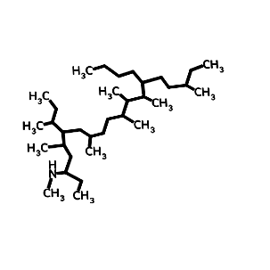 CCCCC(CCC(C)CC)C(C)C(C)C(C)CCC(C)CC(C(C)CC)C(C)CC(CC)NC